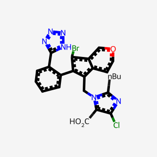 CCCCc1nc(Cl)c(C(=O)O)n1Cc1c2ccocc-2c(Br)c1-c1ccccc1-c1nnn[nH]1